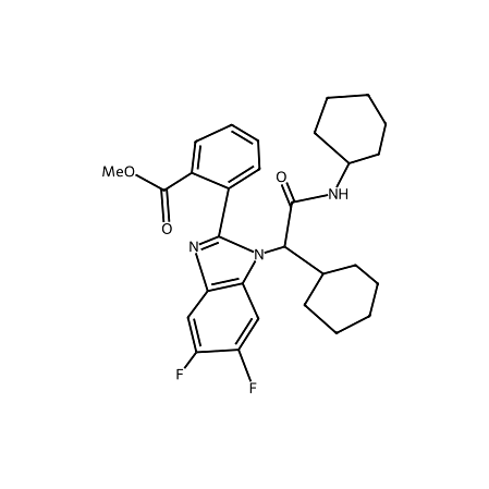 COC(=O)c1ccccc1-c1nc2cc(F)c(F)cc2n1C(C(=O)NC1CCCCC1)C1CCCCC1